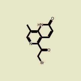 Cc1cnc(C(=O)CBr)c2ccc(=O)[nH]c12